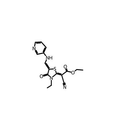 CCOC(=O)C(C#N)=c1sc(=CNc2cccnc2)c(=O)n1CC